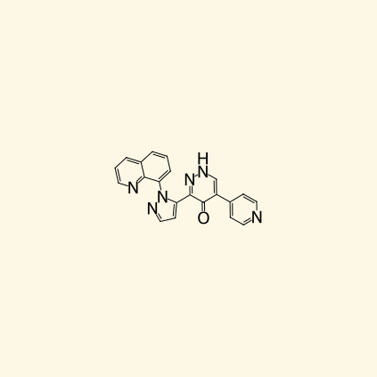 O=c1c(-c2ccncc2)c[nH]nc1-c1ccnn1-c1cccc2cccnc12